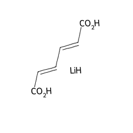 O=C(O)C=CC=CC(=O)O.[LiH]